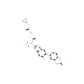 CS(=O)(=O)C(C(=O)NCC(=O)NC1CC1)c1nc2cc(-c3ccc4c(c3)CC(=O)N4)c(F)cc2s1